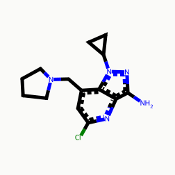 Nc1nn(C2CC2)c2c(CN3CCCC3)cc(Cl)nc12